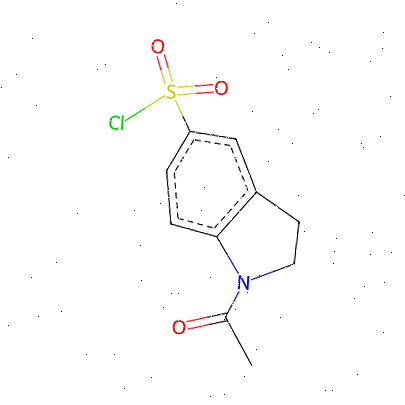 CC(=O)N1CCc2cc(S(=O)(=O)Cl)ccc21